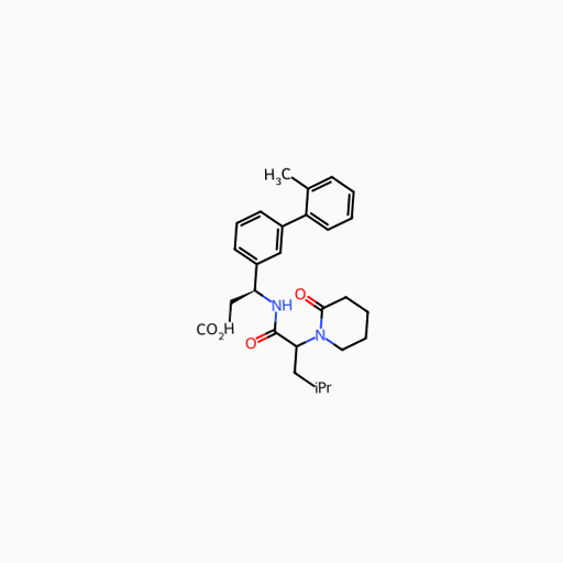 Cc1ccccc1-c1cccc([C@H](CC(=O)O)NC(=O)C(CC(C)C)N2CCCCC2=O)c1